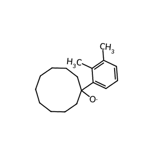 Cc1cccc(C2([O])CCCCCCCCC2)c1C